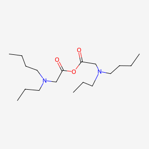 CCCCN(CCC)CC(=O)OC(=O)CN(CCC)CCCC